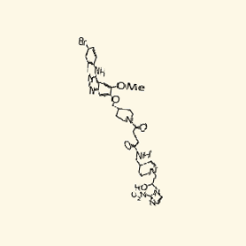 COc1cc2c(Nc3ccc(Br)cc3C)ncnc2cc1OCC1CCN(C(=O)CCC(=O)NCC2CCN(CC(O)Cn3ccnc3[N+](=O)[O-])CC2)CC1